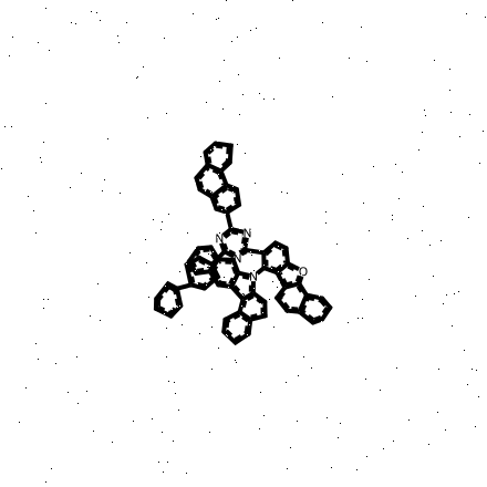 c1ccc(-c2ccc(-c3nc(-c4ccc5c(ccc6ccccc65)c4)nc(-c4ccc5oc6c7ccccc7ccc6c5c4-n4c5cc6ccccc6cc5c5c6ccccc6ccc54)n3)cc2)cc1